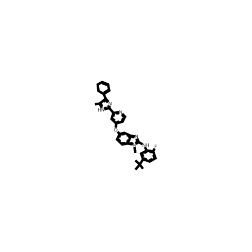 Cc1[nH]c(-c2cc(Oc3ccc4c(c3)nc(Nc3cc(C(C)(C)C)ccc3F)n4C)ccn2)nc1C1=CC=CCC1